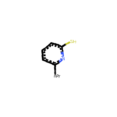 CCCc1cccc(S)n1